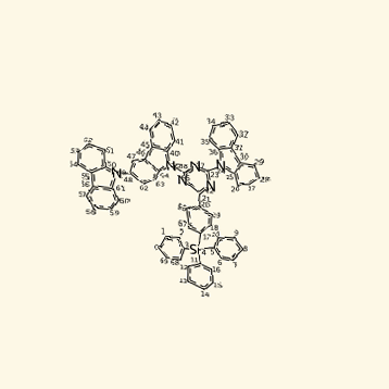 c1ccc([Si](c2ccccc2)(c2ccccc2)c2ccc(-c3nc(-n4c5ccccc5c5ccccc54)nc(-n4c5ccccc5c5cc(-n6c7ccccc7c7ccccc76)ccc54)n3)cc2)cc1